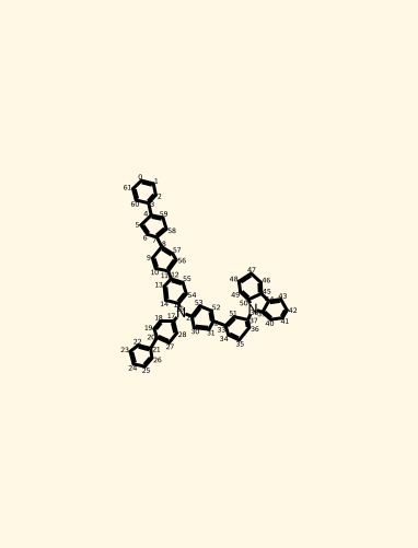 c1ccc(-c2ccc(-c3ccc(-c4ccc(N(c5ccc(-c6ccccc6)cc5)c5ccc(-c6cccc(-n7c8ccccc8c8ccccc87)c6)cc5)cc4)cc3)cc2)cc1